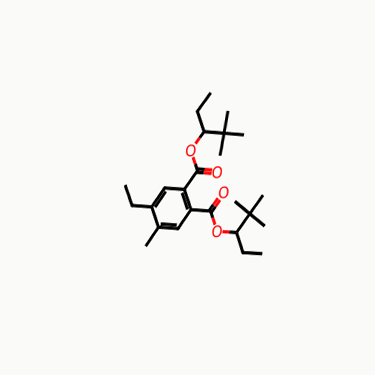 CCc1cc(C(=O)OC(CC)C(C)(C)C)c(C(=O)OC(CC)C(C)(C)C)cc1C